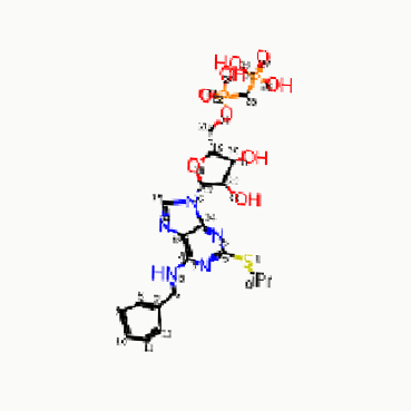 CC(C)Sc1nc(NCc2ccccc2)c2ncn([C@@H]3O[C@H](COP(=O)(O)CP(=O)(O)O)[C@@H](O)[C@H]3O)c2n1